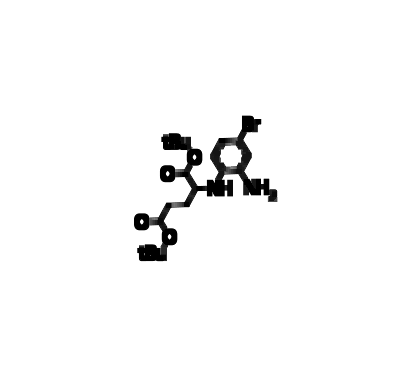 CC(C)(C)OC(=O)CCC(Nc1ccc(Br)cc1N)C(=O)OC(C)(C)C